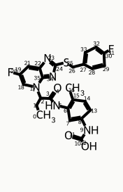 CCC(C(=O)Nc1cc(NC(=O)O)ccc1C)n1cc(F)cc2nc(SCc3ccc(F)cc3)nc1-2